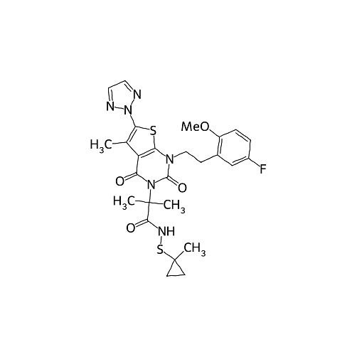 COc1ccc(F)cc1CCn1c(=O)n(C(C)(C)C(=O)NSC2(C)CC2)c(=O)c2c(C)c(-n3nccn3)sc21